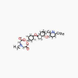 COc1ccc(Oc2cccc3c2CC[C@H]3Oc2ccc(B3OC(=O)CN(C)CC(=O)O3)cc2)c(C)n1